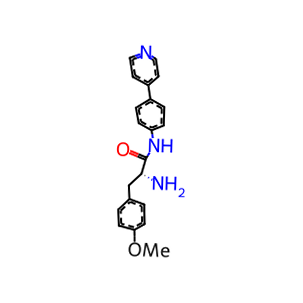 COc1ccc(C[C@@H](N)C(=O)Nc2ccc(-c3ccncc3)cc2)cc1